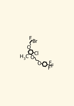 Cc1cc(OC/C=C(/F)Br)cc(Cl)c1OCCCOc1ccc(C(F)(F)F)cc1